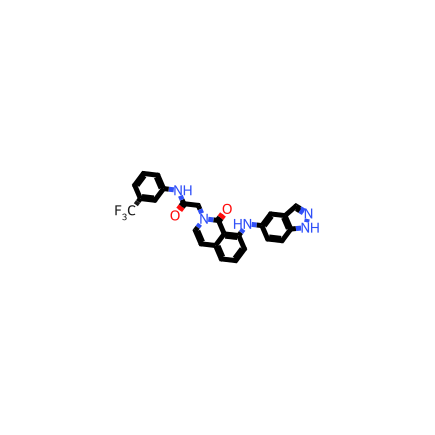 O=C(Cn1ccc2cccc(Nc3ccc4[nH]ncc4c3)c2c1=O)Nc1cccc(C(F)(F)F)c1